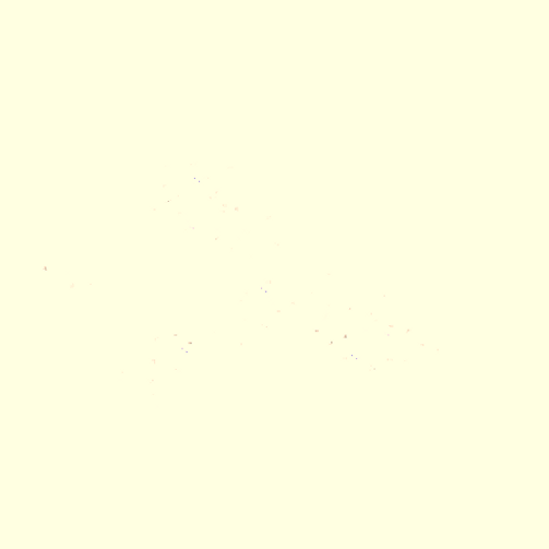 C/C=C1\C[C@H]2C=Nc3cc(OCc4cc(OCCN(CCOCCOCCOC)CCC(=O)O)cc(COc5cc6c(cc5OC)C(=O)N5CC(C)CC5C=N6)n4)c(OC)cc3C(=O)N2C1